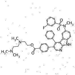 CN(C)CCN(C)CCOC(=O)c1ccc(-c2cnc3[nH]c4ccc(N(C)S(=O)(=O)c5cccc(F)c5)cc4c3c2-c2ccccc2)cc1